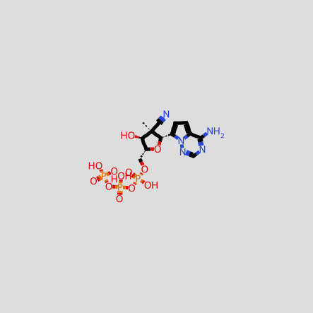 C[C@@]1(C#N)[C@H](O)[C@@H](COP(=O)(O)OP(=O)(O)OP(=O)(O)O)O[C@H]1c1ccc2c(N)ncnn12